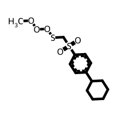 COOOSCS(=O)(=O)c1ccc(C2CCCCC2)cc1